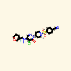 C[C@@H]1C[C@@H](n2ncc(NC[C@@]3(F)CCCOC3)c(Cl)c2=O)CCN1S(=O)(=O)c1ccc(C#N)cc1